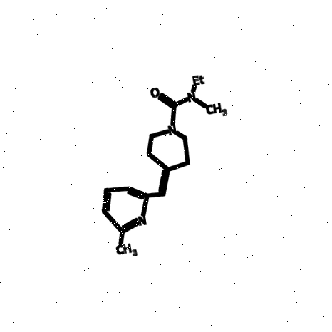 CCN(C)C(=O)N1CCC(=Cc2cccc(C)n2)CC1